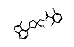 Cc1c[nH]c2ncnc(N3CC[C@](N)(CNC(=O)c4c(F)cccc4Cl)C3)c12